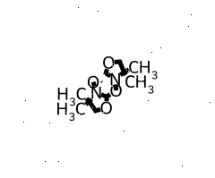 CC1(C)COCN1OC1OCC(C)(C)N1[O]